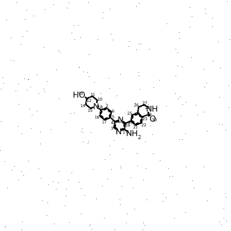 Nc1ncc(-c2ccc(N3CCC(O)CC3)cc2)nc1-c1ccc2c(c1)CCNC2=O